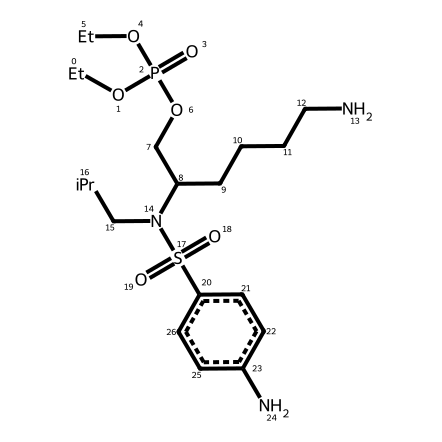 CCOP(=O)(OCC)OCC(CCCCN)N(CC(C)C)S(=O)(=O)c1ccc(N)cc1